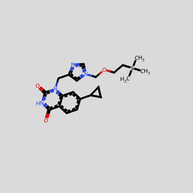 C[Si](C)(C)CCOCn1cnc(Cn2c(=O)[nH]c(=O)c3ccc(C4CC4)cc32)c1